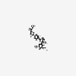 O=C(CO)N1CC(F)(c2ccc(C3=NOC(c4cc(Cl)cc(C(F)(F)F)c4)(C(F)(F)F)C3)cc2)C1